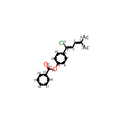 CC(=O)C(=CC=C(Cl)c1ccc(OC(=O)c2ccccc2)cc1)C(C)=O